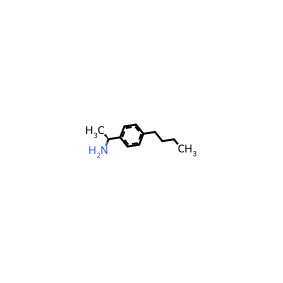 CCCCc1ccc([C@H](C)N)cc1